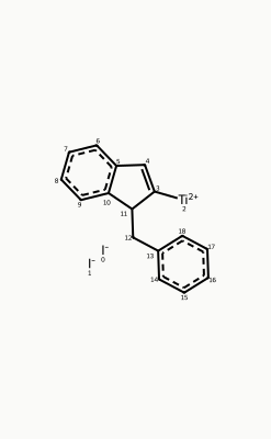 [I-].[I-].[Ti+2][C]1=Cc2ccccc2C1Cc1ccccc1